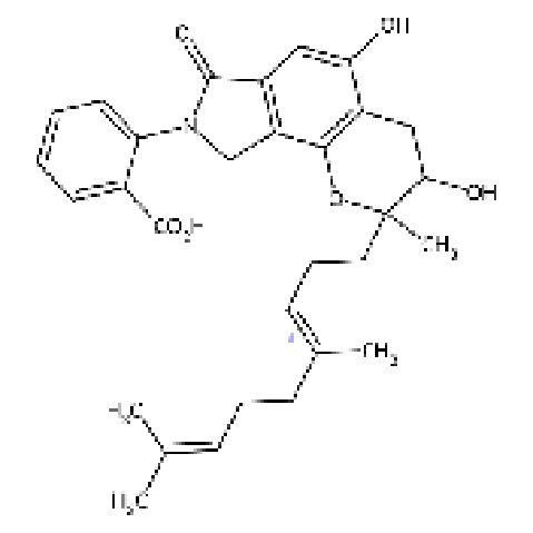 CC(C)=CCC/C(C)=C/CCC1(C)Oc2c(c(O)cc3c2CN(c2ccccc2C(=O)O)C3=O)CC1O